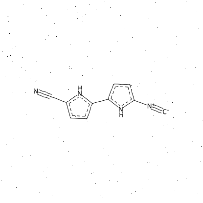 [C-]#[N+]c1ccc(-c2ccc(C#N)[nH]2)[nH]1